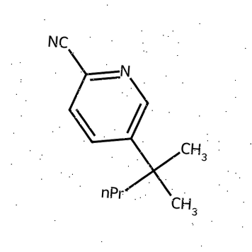 CCCC(C)(C)c1ccc(C#N)nc1